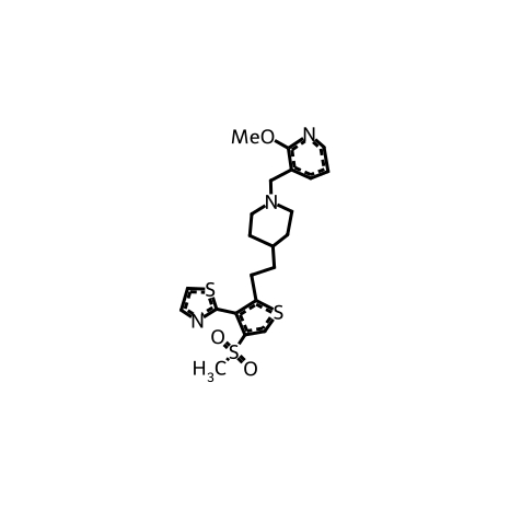 COc1ncccc1CN1CCC(CCc2scc(S(C)(=O)=O)c2-c2nccs2)CC1